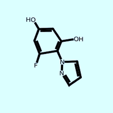 Oc1cc(O)c(-n2cc[c]n2)c(F)c1